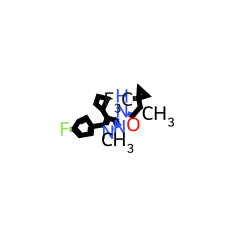 C[C@@H](C(=O)Nc1nn(C)c(-c2ccc(F)cc2)c1C1CCC1)C1(C(F)(F)F)CC1